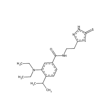 CCN(CC)c1cc(C(=O)NCCc2n[nH]c(=S)s2)ccc1C(C)C